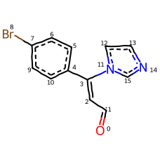 O=[C]C=C(c1ccc(Br)cc1)n1ccnc1